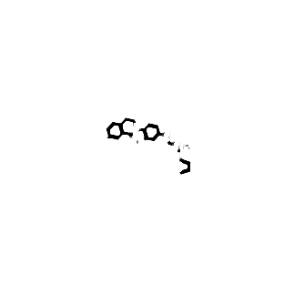 O=C(Nc1ccc(N2C(=O)Cc3ccc(S)cc3C2=O)c(F)c1)NS(=O)(=O)c1cccs1